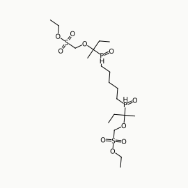 CCOS(=O)(=O)COC(C)(CC)[PH](=O)CCCCC[PH](=O)C(C)(CC)OCS(=O)(=O)OCC